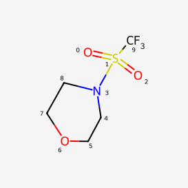 O=S(=O)(N1CCOCC1)C(F)(F)F